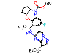 CCOC(=O)c1cnn2ccc(N[C@H](C)c3cc(F)ccc3O[C@@H]3CCC[C@@H]3NC(=O)OC(C)(C)C)nc12